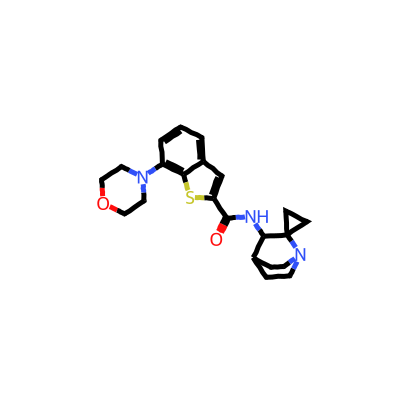 O=C(NC1C2CCN(CC2)C12CC2)c1cc2cccc(N3CCOCC3)c2s1